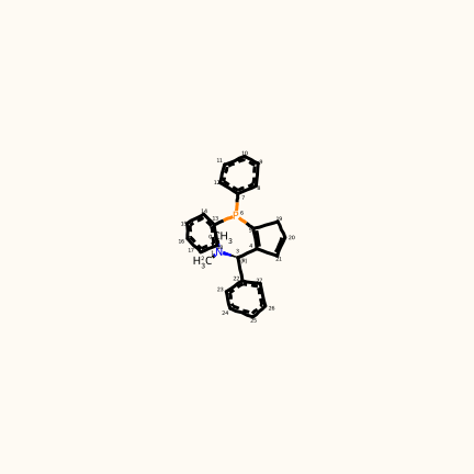 CN(C)[C@@H](C1=C(P(c2ccccc2)c2ccccc2)CC=C1)c1ccccc1